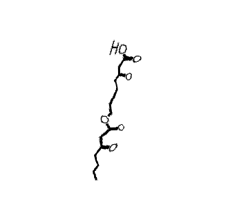 CCCCC(=O)CC(=O)OCCCCC(=O)CC(=O)O